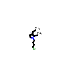 C/C=c1\c(=C/CC)ccn1CCCCBr